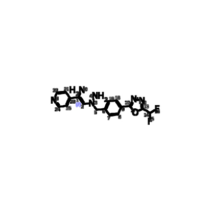 N/C(=C\N(N)Cc1ccc(-c2nnc(C(F)F)o2)cc1)c1ccncc1